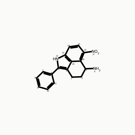 NC1CCc2c(-c3ccccc3)[nH]c3ccc([N+](=O)[O-])c1c23